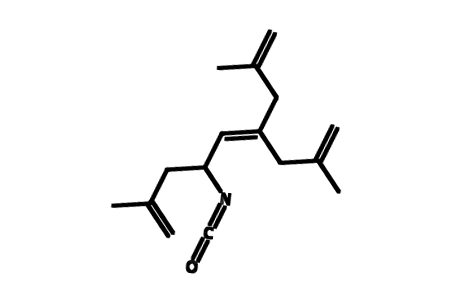 C=C(C)CC(=CC(CC(=C)C)N=C=O)CC(=C)C